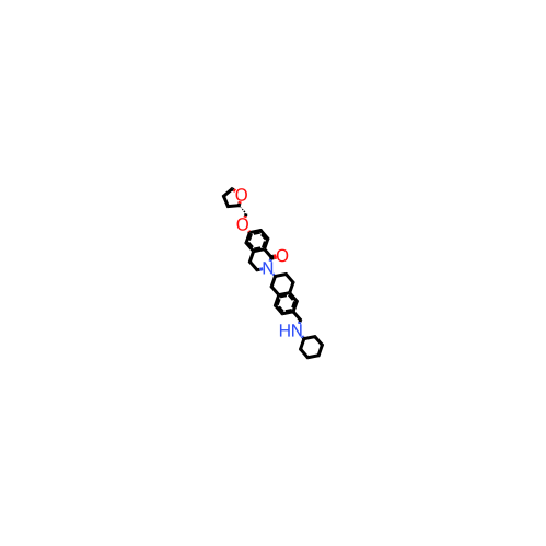 O=C1c2ccc(OC[C@@H]3CCCO3)cc2CCN1[C@H]1CCc2cc(CNC3CCCCC3)ccc2C1